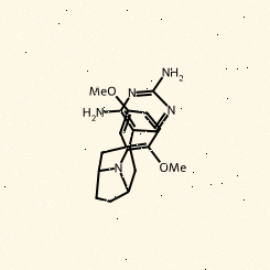 COc1ccc(OC)c(N2C3CCC2CC(c2cnc(N)nc2N)C3)c1